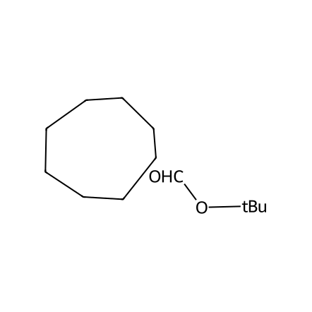 C1CCCCCCC1.CC(C)(C)OC=O